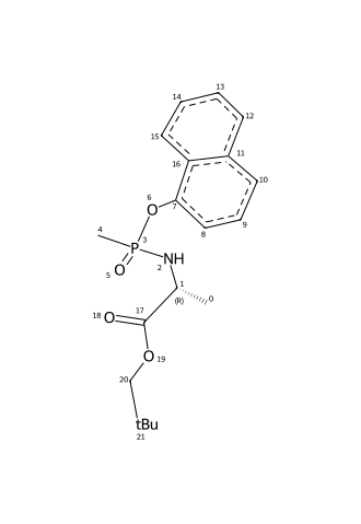 C[C@@H](NP(C)(=O)Oc1cccc2ccccc12)C(=O)OCC(C)(C)C